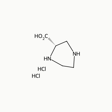 Cl.Cl.O=C(O)[C@@H]1CNCCN1